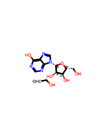 O=CCO.OC[C@H]1O[C@@H](n2cnc3c(O)ncnc32)[C@H](O)[C@@H]1O